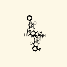 N=C1NC2[C@H](CN3C(=O)CN(c4ccccc4)C3=O)NC(=N)N3C[C@H](NC(=O)c4cccc(F)c4F)C(O)(O)[C@@]23N1